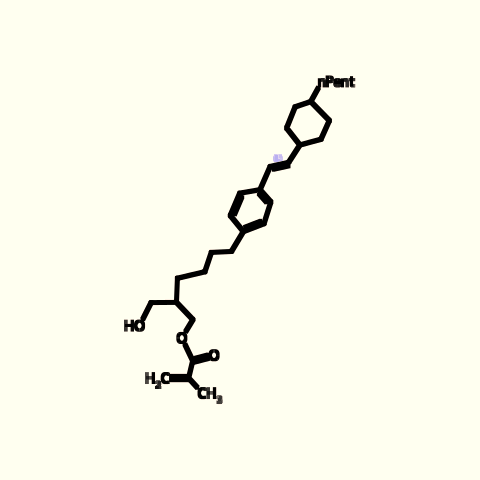 C=C(C)C(=O)OCC(CO)CCCCc1ccc(/C=C/C2CCC(CCCCC)CC2)cc1